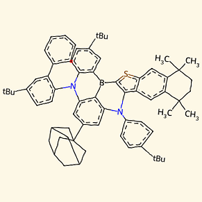 CC(C)(C)c1ccc(N2c3cc(C45CC6CC(CC(C6)C4)C5)cc4c3B(c3cc(C(C)(C)C)ccc3N4c3ccc(C(C)(C)C)cc3-c3ccccc3)c3sc4cc5c(cc4c32)C(C)(C)CCC5(C)C)cc1